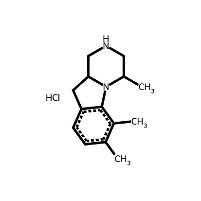 Cc1ccc2c(c1C)N1C(C)CNCC1C2.Cl